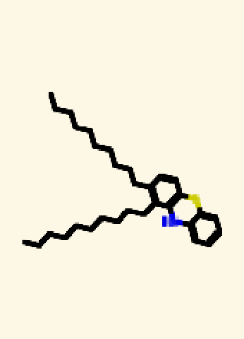 CCCCCCCCCCc1ccc2c(c1CCCCCCCCCC)Nc1ccccc1S2